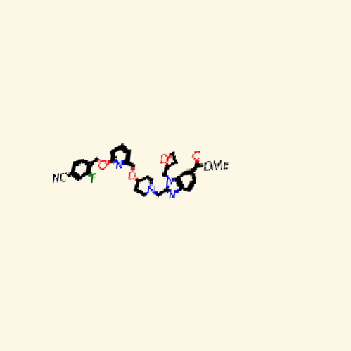 COC(=O)c1ccc2nc(CN3CCC(OCc4cccc(OCc5ccc(C#N)cc5F)n4)CC3)n(CC3CCO3)c2c1